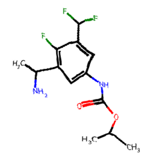 CC(C)OC(=O)Nc1cc(C(C)N)c(F)c(C(F)F)c1